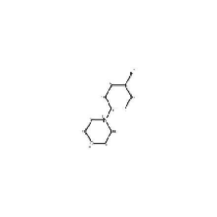 FC1CCC(N2CCOCC2)CC1